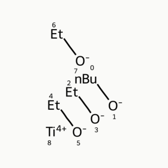 CCCC[O-].CC[O-].CC[O-].CC[O-].[Ti+4]